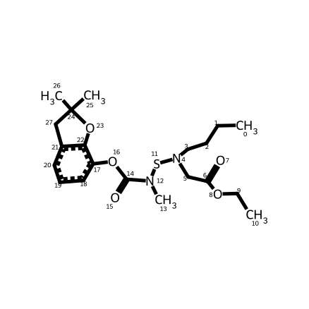 CCCCN(CC(=O)OCC)SN(C)C(=O)Oc1cccc2c1OC(C)(C)C2